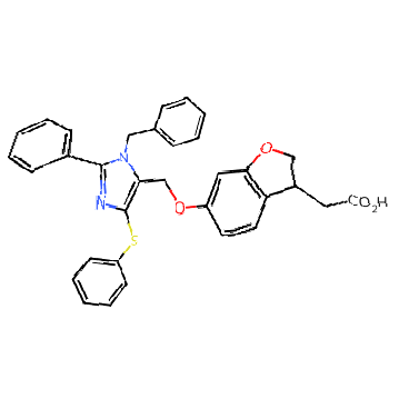 O=C(O)CC1COc2cc(OCc3c(Sc4ccccc4)nc(-c4ccccc4)n3Cc3ccccc3)ccc21